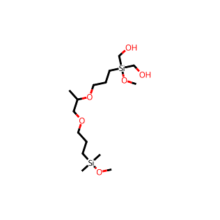 CO[Si](C)(C)CCCOCC(C)OCCC[Si](CO)(CO)OC